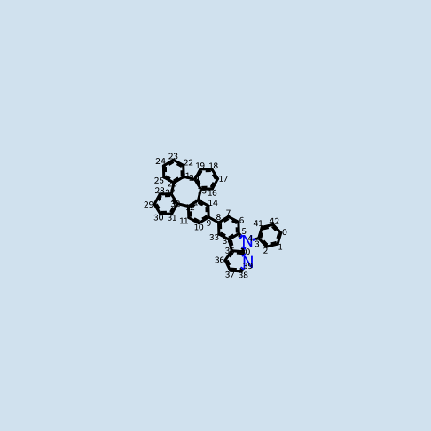 c1ccc(-n2c3ccc(-c4ccc5c(c4)-c4ccccc4-c4ccccc4-c4ccccc4-5)cc3c3cccnc32)cc1